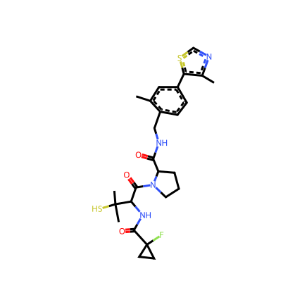 Cc1cc(-c2scnc2C)ccc1CNC(=O)C1CCCN1C(=O)C(NC(=O)C1(F)CC1)C(C)(C)S